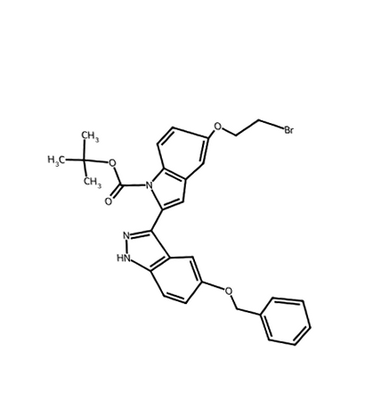 CC(C)(C)OC(=O)n1c(-c2n[nH]c3ccc(OCc4ccccc4)cc23)cc2cc(OCCBr)ccc21